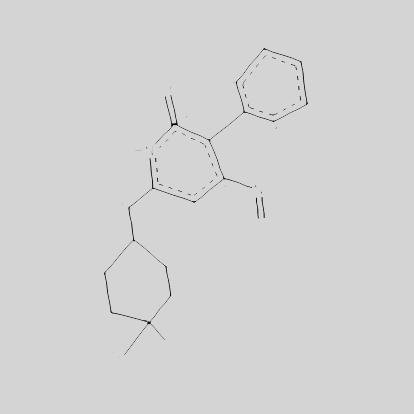 CC1(C)CCC(Cc2cc(N=O)c(-c3ccccc3)c(=O)[nH]2)CC1